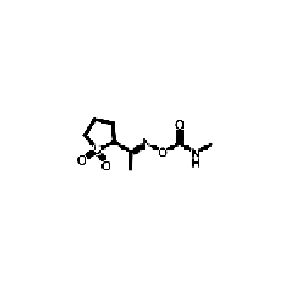 CNC(=O)ON=C(C)C1CCCS1(=O)=O